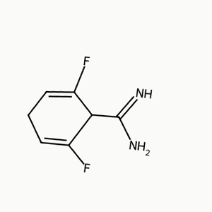 N=C(N)C1C(F)=CCC=C1F